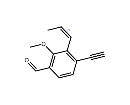 C#Cc1ccc(C=O)c(OC)c1/C=C\C